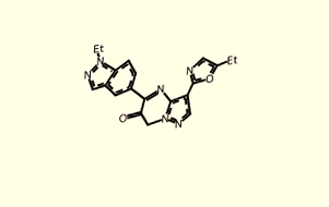 CCc1cnc(-c2cnn3c2N=C(c2ccc4c(cnn4CC)c2)C(=O)C3)o1